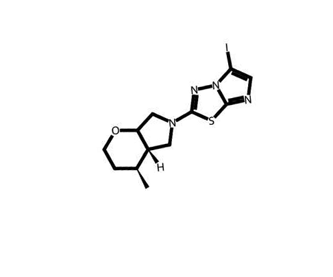 C[C@H]1CCOC2CN(c3nn4c(I)cnc4s3)C[C@@H]21